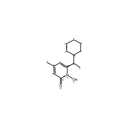 Cc1cc(C(C)C2CCCCC2)n(O)c(=O)c1